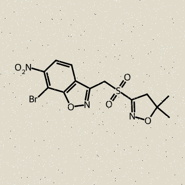 CC1(C)CC(S(=O)(=O)Cc2noc3c(Br)c([N+](=O)[O-])ccc23)=NO1